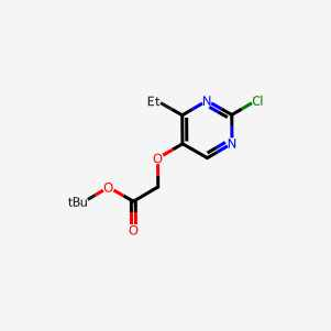 CCc1nc(Cl)ncc1OCC(=O)OC(C)(C)C